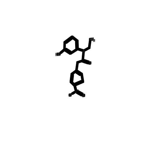 CCN(C(=O)Cc1ccc([N+](=O)[O-])cc1)c1cccc(O)c1